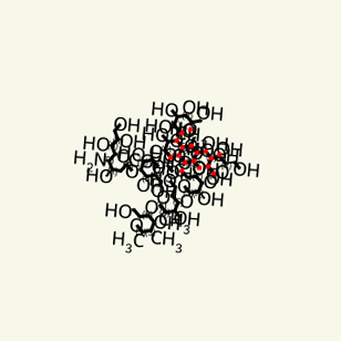 CC1C(O)[C@H](O[C@@H]2OC(CO)[C@H](O)C(O[C@]3(C(=O)O)C[C@@H](O)[C@@H](N)C([C@@H](O)[C@H](O)CO)O3)[C@@H]2O)[C@H](CO)O[C@H]1O[C@@H]1C(O)[C@H](O)C(CO)O[C@@H]1OCC1O[C@@H](O[C@@H]2C(CO)O[C@@H](O[C@@H]3C(CO)O[C@@H](C)[C@@H](C)C3O)[C@@H](C)C2O)[C@H](O)C(O[C@H]2O[C@H](CO)[C@@H](O)C(O)C2O[C@@H]2OC(CO)[C@@H](O[C@@H]3OC(CO)[C@H](O)C(O)[C@@H]3O)C(O)[C@@H]2C)[C@@H]1O